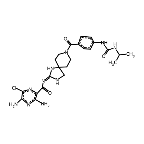 CC(C)NC(=O)Nc1ccc(C(=O)N2CCC3(CC2)CN/C(=N\C(=O)c2nc(Cl)c(N)nc2N)N3)cc1